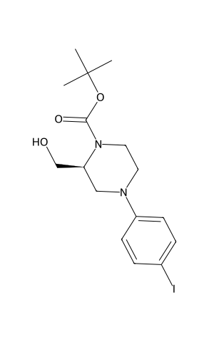 CC(C)(C)OC(=O)N1CCN(c2ccc(I)cc2)C[C@H]1CO